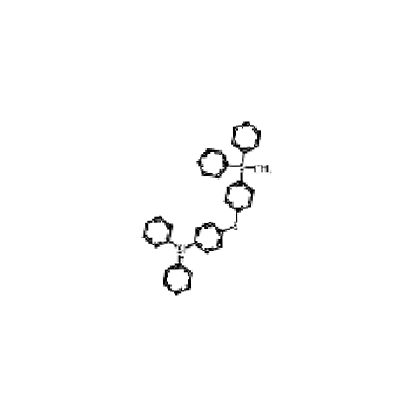 CS(c1ccccc1)(c1ccccc1)c1ccc(Sc2ccc([SiH](c3ccccc3)c3ccccc3)cc2)cc1